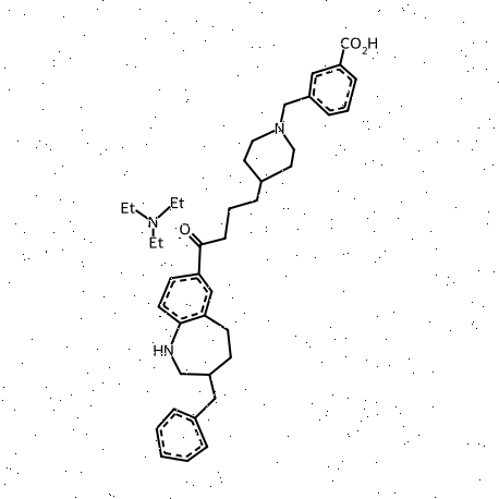 CCN(CC)CC.O=C(O)c1cccc(CN2CCC(CCCC(=O)c3ccc4c(c3)CCC(Cc3ccccc3)CN4)CC2)c1